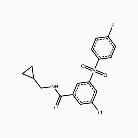 O=C(NCC1CC1)c1cc(Cl)cc(S(=O)(=O)c2ccc(F)cc2)c1